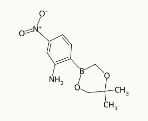 CC1(C)COB(c2ccc([N+](=O)[O-])cc2N)CO1